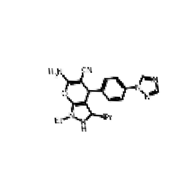 CCN1NC(C(C)C)C2=C1OC(N)=C(C#N)C2c1ccc(-n2cncn2)cc1